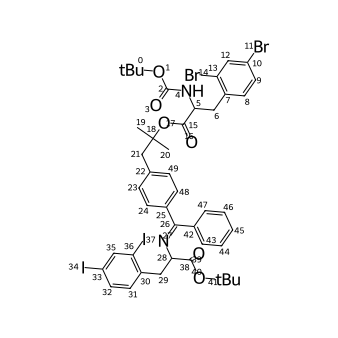 CC(C)(C)OC(=O)NC(Cc1ccc(Br)cc1Br)C(=O)OC(C)(C)Cc1ccc(/C(=N/C(Cc2ccc(I)cc2I)C(=O)OC(C)(C)C)c2ccccc2)cc1